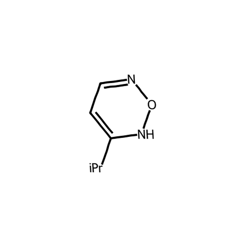 CC(C)C1=CC=NON1